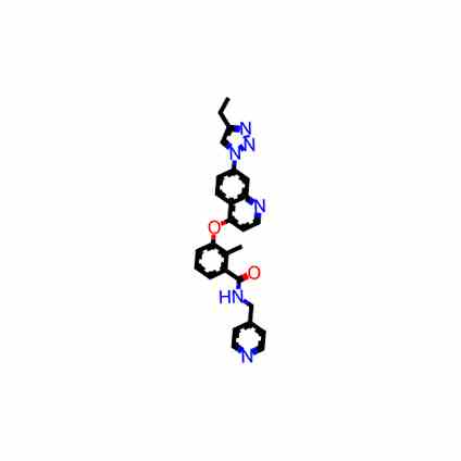 CCc1cn(-c2ccc3c(Oc4cccc(C(=O)NCc5ccncc5)c4C)ccnc3c2)nn1